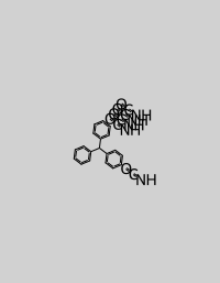 N=C=O.N=C=O.N=C=O.N=C=O.N=C=O.c1ccc(C(c2ccccc2)c2ccccc2)cc1